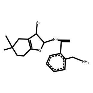 C=C(NC1SC2=C(CC(C)(C)CC2)C1C(C)=O)c1ccccc1CN